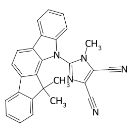 Cn1c(-n2c3ccccc3c3ccc4c(c32)C(C)(C)c2ccccc2-4)nc(C#N)c1C#N